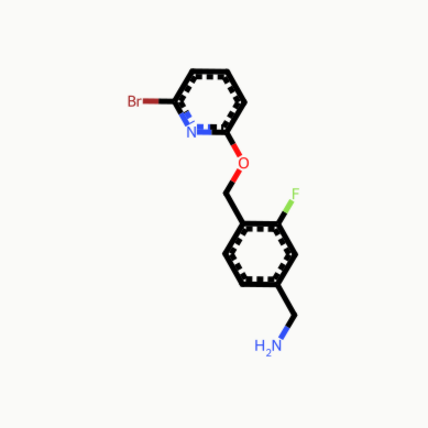 NCc1ccc(COc2cccc(Br)n2)c(F)c1